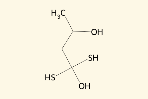 CC(O)CC(O)(S)S